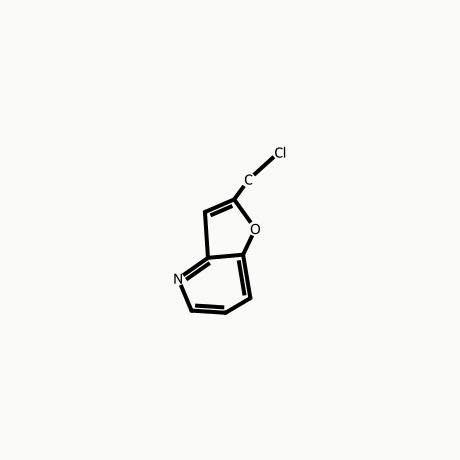 ClCc1cc2ncccc2o1